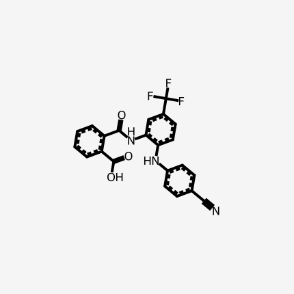 N#Cc1ccc(Nc2ccc(C(F)(F)F)cc2NC(=O)c2ccccc2C(=O)O)cc1